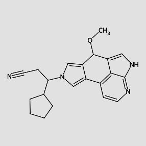 COC1c2cn(C(CC#N)C3CCCC3)cc2-c2ccnc3[nH]cc1c23